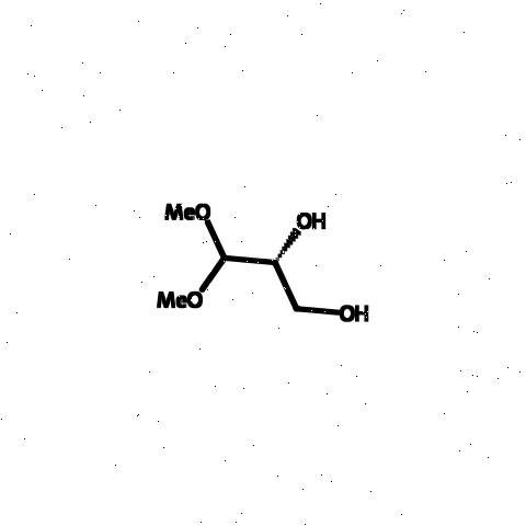 COC(OC)[C@H](O)CO